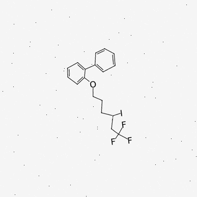 FC(F)(F)CC(I)CCCOc1ccccc1-c1ccccc1